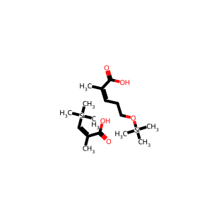 CC(=CCCO[Si](C)(C)C)C(=O)O.CC(=C[Si](C)(C)C)C(=O)O